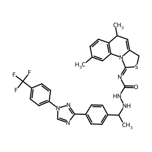 Cc1ccc2c(c1)N1C(=CC2C)CS/C1=N\C(=O)NNC(C)c1ccc(-c2ncn(-c3ccc(C(F)(F)F)cc3)n2)cc1